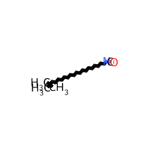 CC(C)(C)CCCCCCCCCCCCCCCCCCN=C=O